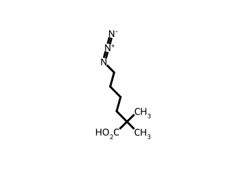 CC(C)(CCCCN=[N+]=[N-])C(=O)O